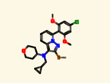 COc1cc(Cl)cc(OC)c1-c1cccc2c(N(CC3CC3)C3CCOCC3)c(SC)nn12